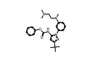 CN(C)CCN(C)c1cccc(-n2nc(C(C)(C)C)cc2NC(=O)Oc2ccccc2)c1